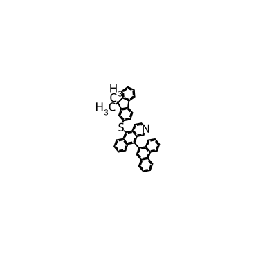 CC1(C)c2ccccc2-c2ccc(Sc3c4ccccc4c(-c4cc5ccccc5c5ccccc45)c4cnccc34)cc21